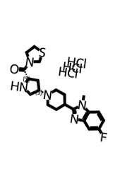 Cl.Cl.Cl.Cn1c(C2CCN([C@@H]3CN[C@H](C(=O)N4CCSC4)C3)CC2)nc2cc(F)ccc21